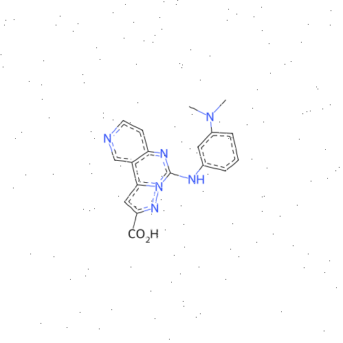 CN(C)c1cccc(Nc2nc3ccncc3c3cc(C(=O)O)nn23)c1